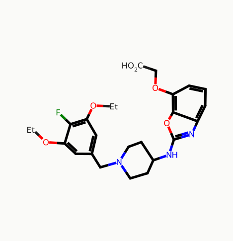 CCOc1cc(CN2CCC(Nc3nc4cccc(OCC(=O)O)c4o3)CC2)cc(OCC)c1F